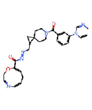 C=CN(/C=N\C)c1cccc(C(=O)N2CCC3(CC2)CC3CN=NC(=O)/C2=C/C/C=C\N=C/CO2)c1